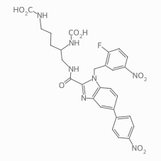 O=C(O)NCCCC(CNC(=O)c1nc2cc(-c3ccc([N+](=O)[O-])cc3)ccc2n1Cc1cc([N+](=O)[O-])ccc1F)NC(=O)O